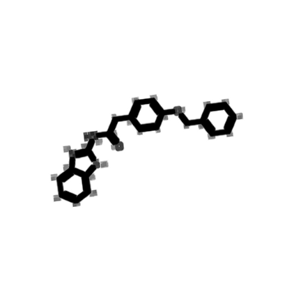 O=C(Cc1ccc(OCc2ccccc2)cc1)Nc1nc2ccccc2s1